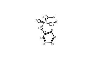 COP(=O)(OC)Sc1ccccc1